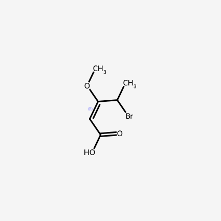 CO/C(=C/C(=O)O)C(C)Br